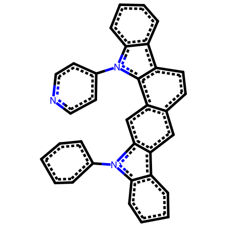 c1ccc(-n2c3ccccc3c3cc4ccc5c6ccccc6n(-c6ccncc6)c5c4cc32)cc1